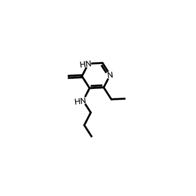 C=C1NC=NC(CC)=C1NCCC